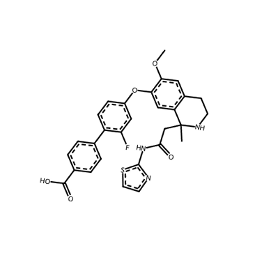 COc1cc2c(cc1Oc1ccc(-c3ccc(C(=O)O)cc3)c(F)c1)C(C)(CC(=O)Nc1nccs1)NCC2